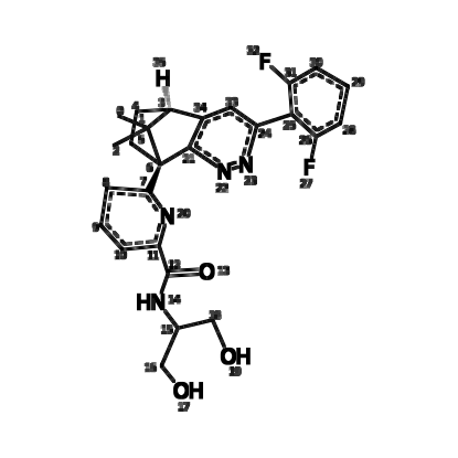 CC1(C)[C@H]2CC[C@@]1(c1cccc(C(=O)NC(CO)CO)n1)c1nnc(-c3c(F)cccc3F)cc12